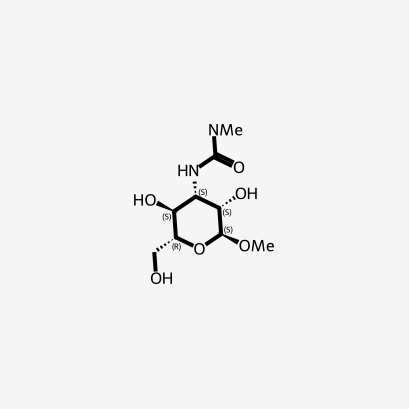 CNC(=O)N[C@@H]1[C@H](O)[C@@H](OC)O[C@H](CO)[C@H]1O